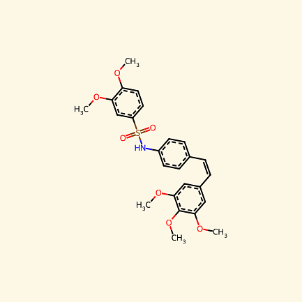 COc1ccc(S(=O)(=O)Nc2ccc(/C=C\c3cc(OC)c(OC)c(OC)c3)cc2)cc1OC